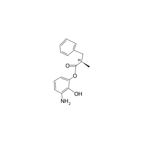 C[C@H](Cc1ccccc1)C(=O)Oc1cccc(N)c1O